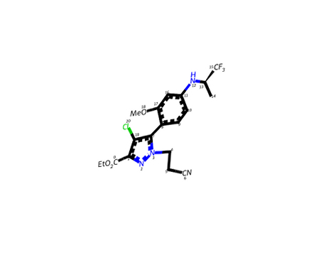 CCOC(=O)c1nn(CCC#N)c(-c2ccc(N[C@H](C)C(F)(F)F)cc2OC)c1Cl